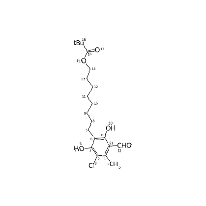 Cc1c(Cl)c(O)c(CCCCCCCCOC(=O)C(C)(C)C)c(O)c1C=O